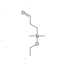 CCO[Si](C)(C)CCC=O